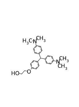 CN(C)c1ccc(C(c2ccc(OCCO)cc2)c2ccc(N(C)C)cc2)cc1